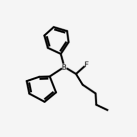 CCCCC(F)B(c1ccccc1)c1ccccc1